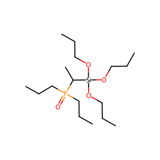 CCCO[Si](OCCC)(OCCC)C(C)P(=O)(CCC)CCC